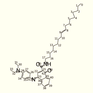 CCCCCCCC/C=C/CCCCCCCCNC(=O)C1=C/C(=N\c2ccc(N(CC)CC)cc2)c2ccccc2C1=O